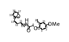 COc1ccc(OCC(=O)N/N=C/C=C\c2ccco2)c(I)c1